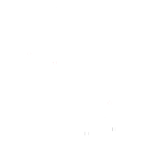 [3H]C(=O)[C@H](CC)c1ccc(COC(=O)c2ccccc2)cc1